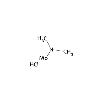 C[N](C)[Mo].Cl